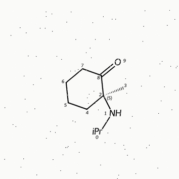 CC(C)N[C@@]1(C)CCCCC1=O